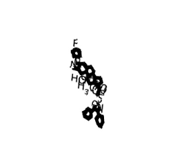 CC12Cc3cnn(-c4ccc(F)cc4)c3C=C1CCC1C2[C@@H](O)CC2(C)C1CC[C@]2(O)C(=O)CSc1nc(-c2ccccc2)c(-c2ccccc2)o1